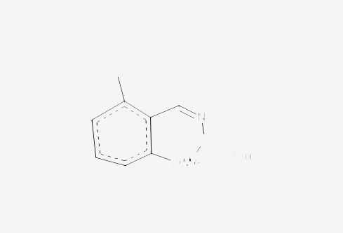 COc1cccc(Cl)c1/C=N\[S@@+]([O-])C(C)(C)C